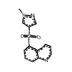 Cn1cc(S(=O)(=O)c2cccc3ncccc23)cn1